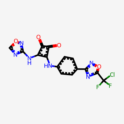 O=c1c(Nc2ccc(-c3noc(C(F)(F)Cl)n3)cc2)c(Nc2ncon2)c1=O